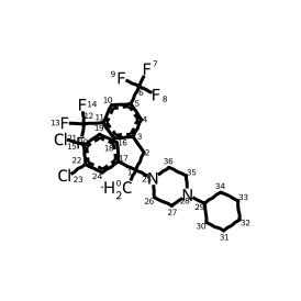 [CH2]C(Cc1cc(C(F)(F)F)cc(C(F)(F)F)c1)(c1ccc(Cl)c(Cl)c1)N1CCN(C2CCCCC2)CC1